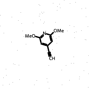 C#Cc1cc(OC)nc(OC)c1